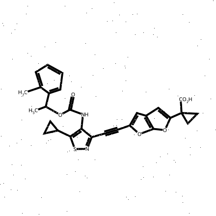 Cc1ccccc1C(C)OC(=O)Nc1c(C#Cc2cc3cc(C4(C(=O)O)CC4)oc3o2)nsc1C1CC1